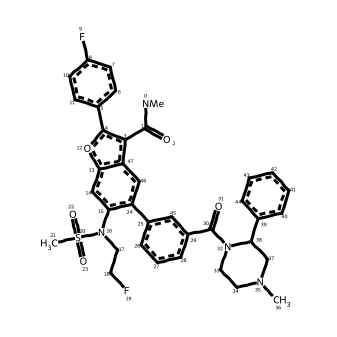 CNC(=O)c1c(-c2ccc(F)cc2)oc2cc(N(CCF)S(C)(=O)=O)c(-c3cccc(C(=O)N4CCN(C)CC4c4ccccc4)c3)cc12